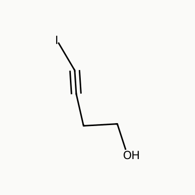 OCCC#CI